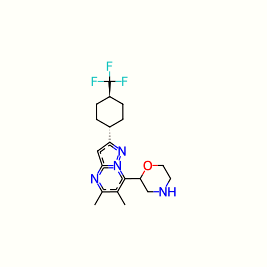 Cc1nc2cc([C@H]3CC[C@H](C(F)(F)F)CC3)nn2c(C2CNCCO2)c1C